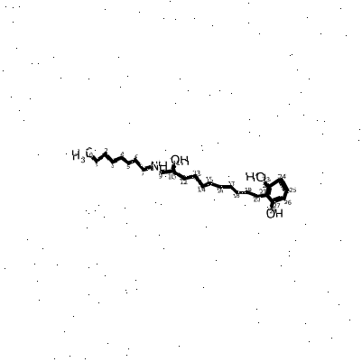 CCCCCCCCNCC(O)CCCCCCCCCc1c(O)cccc1O